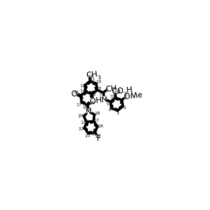 COc1cccc(NC(C)c2cc(C)cc3c(=O)cc(N4Cc5ccc(F)cc5C4)oc23)c1C(=O)O